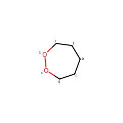 C1CCOOCC1